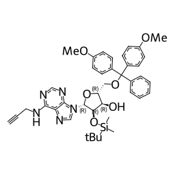 C#CCNc1ncnc2c1ncn2[C@@H]1O[C@H](COC(c2ccccc2)(c2ccc(OC)cc2)c2ccc(OC)cc2)[C@@H](O)[C@H]1O[Si](C)(C)C(C)(C)C